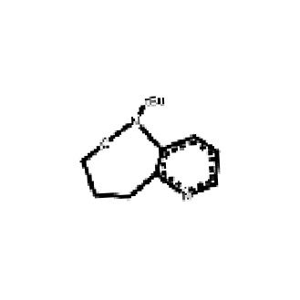 CC(C)(C)N1CCCCc2ncccc21